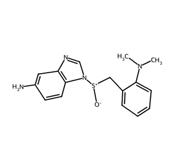 CN(C)c1ccccc1C[S+]([O-])n1cnc2cc(N)ccc21